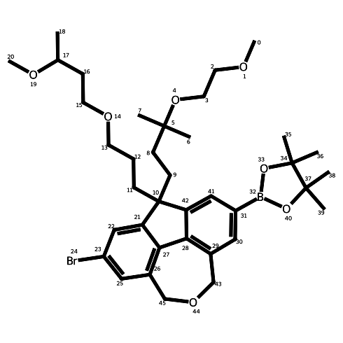 COCCOC(C)(C)CCC1(CCCOCCC(C)OC)c2cc(Br)cc3c2-c2c(cc(B4OC(C)(C)C(C)(C)O4)cc21)COC3